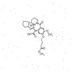 COC(=O)CCCOc1cc2c(cc1OC)C(=O)N1CCCC[C@H]1[C@H](OC1CCCCO1)N2C(=O)O